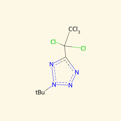 CC(C)(C)n1nnc(C(Cl)(Cl)C(Cl)(Cl)Cl)n1